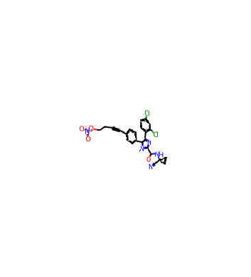 Cn1c(C(=O)NC2(C#N)CC2)nc(-c2ccc(Cl)cc2Cl)c1-c1ccc(C#CCCO[N+](=O)[O-])cc1